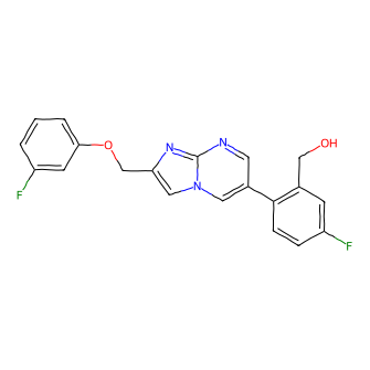 OCc1cc(F)ccc1-c1cnc2nc(COc3cccc(F)c3)cn2c1